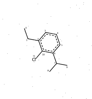 CCc1cccc([C](C)C)c1Cl